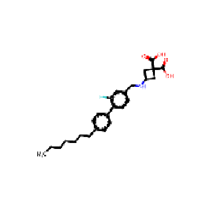 CCCCCCCc1ccc(-c2ccc(CNC3CC(C(=O)O)(C(=O)O)C3)cc2F)cc1